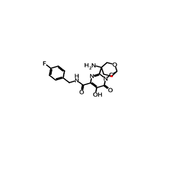 NC12CCC(Cn3c1nc(C(=O)NCc1ccc(F)cc1)c(O)c3=O)OC2